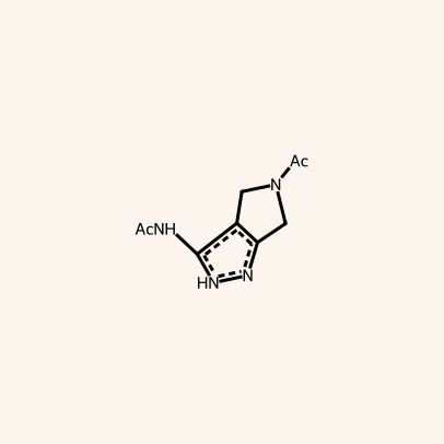 CC(=O)Nc1[nH]nc2c1CN(C(C)=O)C2